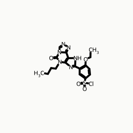 CCCCn1c(=O)n2cnnc2c2[nH]c(-c3cc(S(=O)(=O)Cl)ccc3OCC)nc21